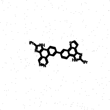 CC(C)c1nc2c3cnncc3c3cc(-c4ccc5c(c4)c4sccc4c4nc(C(C)C)[nH]c54)ccc3c2[nH]1